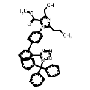 CCCc1nc(CO)c(C(=O)OC)n1-c1ccc(-c2ccccc2-c2nnnn2C(c2ccccc2)(c2ccccc2)c2ccccc2)cc1